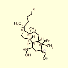 CCC[C@@]1(C)/C(=N/O)CC(NO)[C@H]2[C@@H]3CC[C@H]([C@H](C)CCCC(C)C)[C@@]3(C)CC[C@@H]21